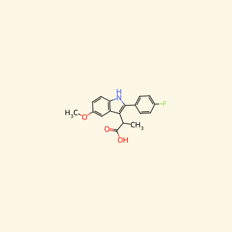 COc1ccc2[nH]c(-c3ccc(F)cc3)c(C(C)C(=O)O)c2c1